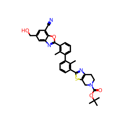 Cc1c(-c2nc3cc(CO)cc(C#N)c3o2)cccc1-c1cccc(-c2nc3c(s2)CN(C(=O)OC(C)(C)C)CC3)c1C